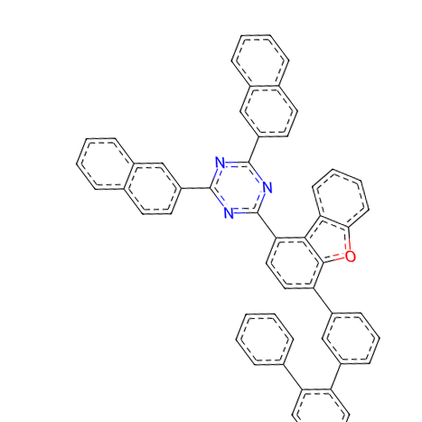 c1ccc(-c2ccccc2-c2cccc(-c3ccc(-c4nc(-c5ccc6ccccc6c5)nc(-c5ccc6ccccc6c5)n4)c4c3oc3ccccc34)c2)cc1